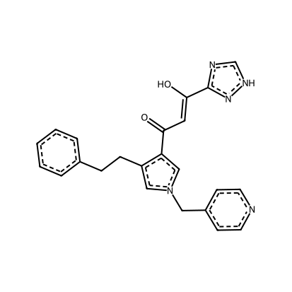 O=C(C=C(O)c1nc[nH]n1)c1cn(Cc2ccncc2)cc1CCc1ccccc1